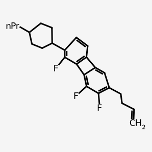 C=CCCc1cc2c(c(F)c1F)-c1c-2ccc(C2CCC(CCC)CC2)c1F